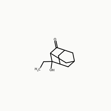 CCC1(O)C2CC3CC(C2)C(=O)C1C3